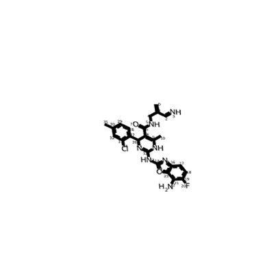 C=C(C=N)CNC(=O)C1=C(C)NC(Nc2nc3ccc(F)c(N)c3o2)=NC1c1ccc(C)cc1Cl